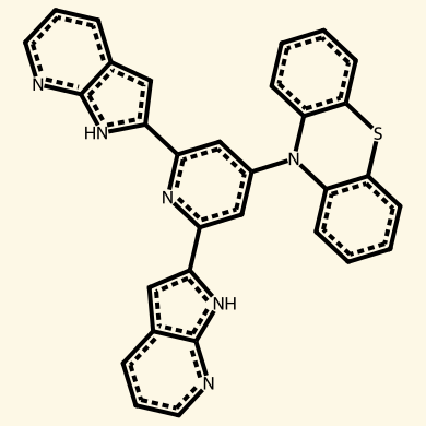 c1ccc2c(c1)Sc1ccccc1N2c1cc(-c2cc3cccnc3[nH]2)nc(-c2cc3cccnc3[nH]2)c1